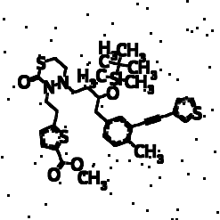 COC(=O)c1ccc(CCN2C(=O)SCCN2CCC(Cc2ccc(C)c(C#Cc3ccsc3)c2)O[Si](C)(C)C(C)(C)C)s1